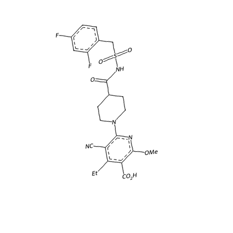 CCc1c(C#N)c(N2CCC(C(=O)NS(=O)(=O)Cc3ccc(F)cc3F)CC2)nc(OC)c1C(=O)O